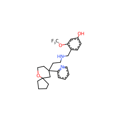 Oc1ccc(CNCCC2(c3ccccn3)CCOC3(CCCC3)C2)c(OC(F)(F)F)c1